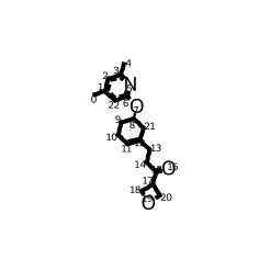 Cc1cc(C)nc(O[C@@H]2CCC=C(CCC(=O)C3COC3)C2)c1